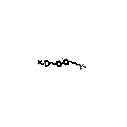 CONCCCCCc1ccc(-c2ccc(CCC3CCN(CC(C)(C)C)CC3)cc2)c(F)c1